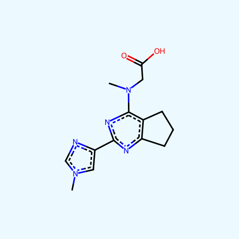 CN(CC(=O)O)c1nc(-c2cn(C)cn2)nc2c1CCC2